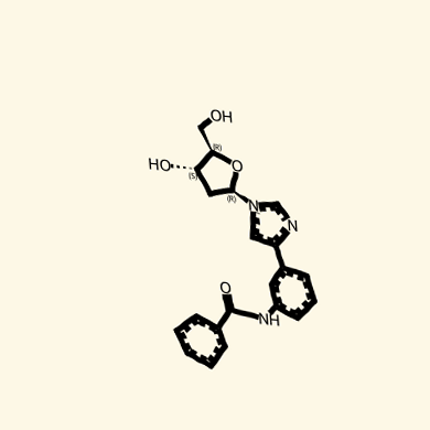 O=C(Nc1cccc(-c2cn([C@H]3C[C@H](O)[C@@H](CO)O3)cn2)c1)c1ccccc1